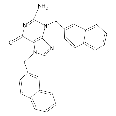 Nc1nc(=O)c2c(ncn2Cc2ccc3ccccc3c2)n1Cc1ccc2ccccc2c1